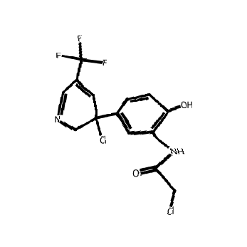 O=C(CCl)Nc1cc(C2(Cl)C=C(C(F)(F)F)C=NC2)ccc1O